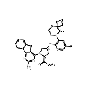 COC(=O)[C@@H]1C[C@H](Oc2ncc(Br)cc2N2CCOC3(COC3)[C@@H]2C)CN1c1nc(C(F)(F)F)nc2c1oc1ccccc12